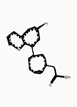 COC(=O)Cc1cccc(-c2cc(C(C)C)cc3cccnc23)c1